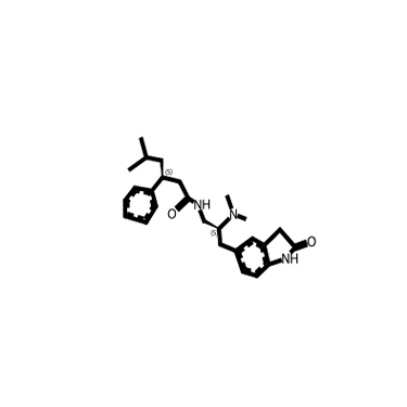 CC(C)C[C@@H](CC(=O)NC[C@H](Cc1ccc2c(c1)CC(=O)N2)N(C)C)c1ccccc1